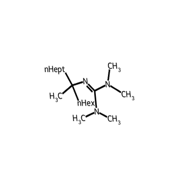 CCCCCCCC(C)(CCCCCC)N=C(N(C)C)N(C)C